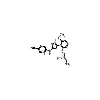 COc1cncc(OC[C@@H](O)CN)c1-c1cc(Nc2cnc(C#N)cn2)n[nH]1